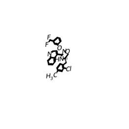 Cc1ccc(C[C@@H]2CON=C(c3c(Oc4cccc(C(F)F)c4)cnc4ccccc34)N2)c(Cl)c1